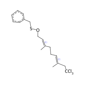 C/C(=C\COSCc1ccccc1)CC/C=C(\C)CC(Cl)(Cl)Cl